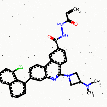 C=CC(=O)NNC(=O)c1ccc2c(N3CC(N(C)C)C3)nc3cc(-c4cccc5cccc(Cl)c45)ccc3c2c1